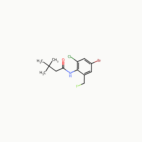 CC(C)(C)CC(=O)Nc1c(Cl)cc(Br)cc1CF